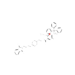 COc1cc(NC(c2ccccc2)(c2ccccc2)c2ccccc2)c(Cl)cc1C(=O)OCCC1CCN(CCCCN2C(=O)c3ccccc3C2=O)CC1